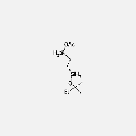 CCC(C)(C)O[SiH2]CC[SiH2]OC(C)=O